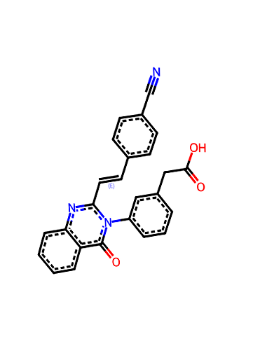 N#Cc1ccc(/C=C/c2nc3ccccc3c(=O)n2-c2cccc(CC(=O)O)c2)cc1